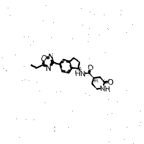 CCc1nc(-c2ccc3c(c2)CC[C@H]3NC(=O)[C@@H]2CCNC(=O)C2)no1